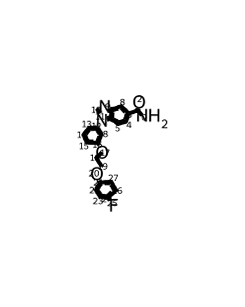 NC(=O)c1ccc2c(c1)ncn2-c1cccc(OCCOc2ccc(F)cc2)c1